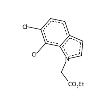 CCOC(=O)Cn1ccc2ccc(Cl)c(Cl)c21